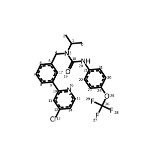 CC(C)N(Cc1cccc(-c2cc(Cl)ccn2)c1)C(=O)Nc1ccc(OC(F)(F)F)cc1